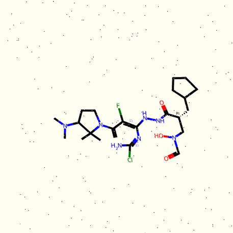 C=C(/C(F)=C(\N=C(/N)Cl)NNC(=O)[C@H](CC1CCCC1)CN(O)C=O)N1CCC(N(C)C)C1(C)C